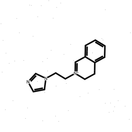 C1=[N+](CCn2ccnc2)CCc2ccccc21